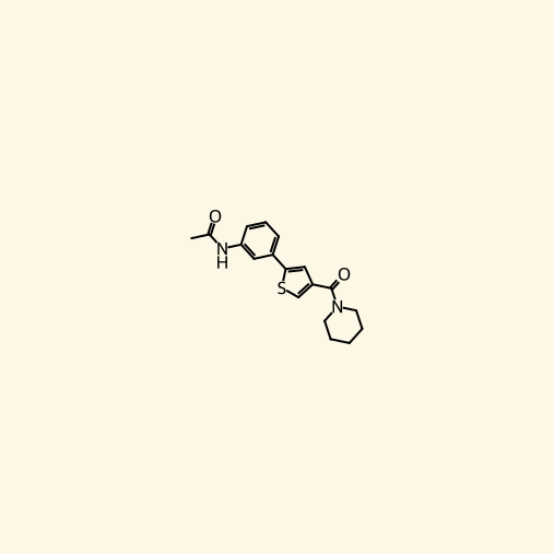 CC(=O)Nc1cccc(-c2cc(C(=O)N3CCCCC3)cs2)c1